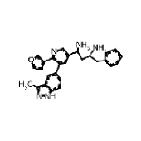 Cc1n[nH]c2ccc(-c3cc(C(N)C[C@@H](N)Cc4ccccc4)cnc3-c3ccoc3)cc12